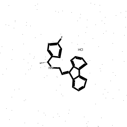 C[C@@H](NCC=C1c2ccccc2-c2ccccc21)c1ccc(F)cc1.Cl